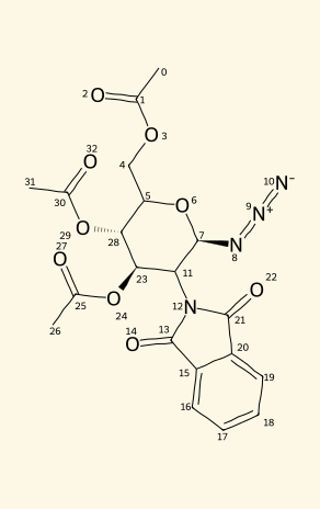 CC(=O)OCC1O[C@@H](N=[N+]=[N-])C(N2C(=O)c3ccccc3C2=O)[C@@H](OC(C)=O)[C@@H]1OC(C)=O